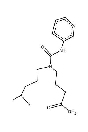 CC(C)CCCN(CCCC(N)=O)C(=O)Nc1ccccc1